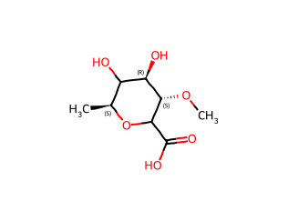 CO[C@@H]1C(C(=O)O)O[C@@H](C)C(O)[C@H]1O